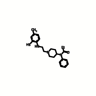 CCC(=O)N(c1ccccc1)C1CCN(CCNc2ccc(C)cc2S)CC1